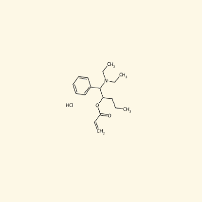 C=CC(=O)OC(CCC)C(c1ccccc1)N(CC)CC.Cl